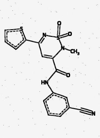 CN1C(C(=O)Nc2cccc(C#N)c2)=CC(c2cccs2)=NS1(=O)=O